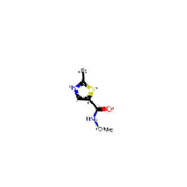 CCc1ncc(C(=O)NOC)s1